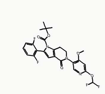 COc1cc(OC(F)F)ncc1N1CCc2c(cc(-c3c(F)cccc3F)n2C(=O)OC(C)(C)C)C1=O